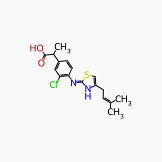 CC(C)=CCc1cs/c(=N\c2ccc(C(C)C(=O)O)cc2Cl)[nH]1